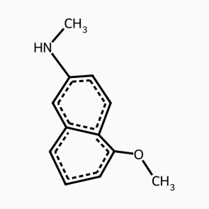 CNc1ccc2c(OC)cccc2c1